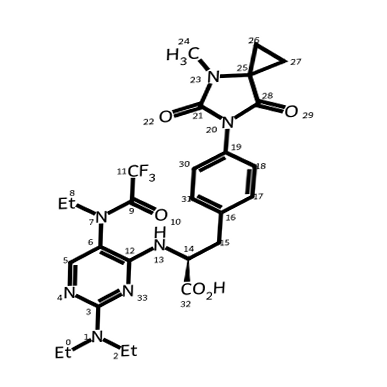 CCN(CC)c1ncc(N(CC)C(=O)C(F)(F)F)c(N[C@@H](Cc2ccc(N3C(=O)N(C)C4(CC4)C3=O)cc2)C(=O)O)n1